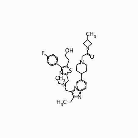 CCc1nc2ccc(C3CCN(CC(=O)N4CC(C)C4)CC3)cn2c1CN(CC)Cc1nc(-c2ccc(F)cc2)c(CCO)s1